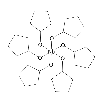 C1CCC([O][Nb]([O]C2CCCC2)([O]C2CCCC2)([O]C2CCCC2)([O]C2CCCC2)[O]C2CCCC2)C1